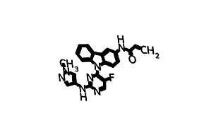 C=CC(=O)Nc1ccc2c(c1)c1ccccc1n2-c1nc(Nc2cnn(C)c2)ncc1F